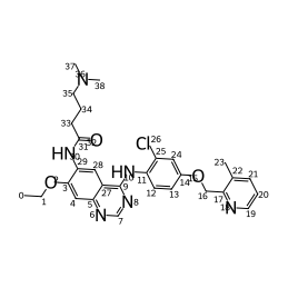 CCOc1cc2ncnc(Nc3ccc(OCc4ncccc4C)cc3Cl)c2cc1NC(=O)CCCN(C)C